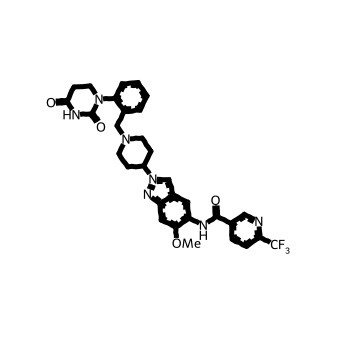 COc1cc2nn(C3CCN(Cc4ccccc4N4CCC(=O)NC4=O)CC3)cc2cc1NC(=O)c1ccc(C(F)(F)F)nc1